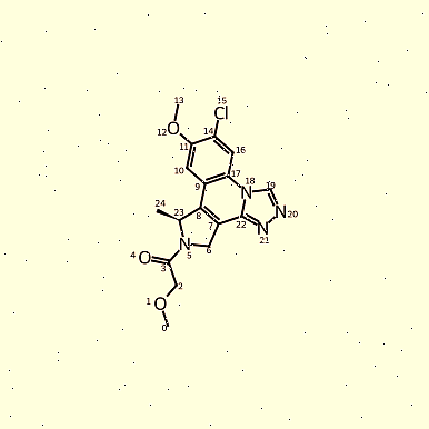 COCC(=O)N1Cc2c(c3cc(OC)c(Cl)cc3n3cnnc23)[C@@H]1C